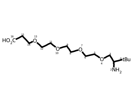 CC(C)(C)C(N)COCCOCCOCCOCCC(=O)O